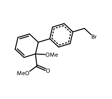 COC(=O)C1(OC)C=CC=CC1c1ccc(CBr)cc1